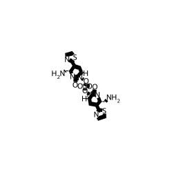 NC[C@@H]1C(c2nccs2)=C[C@@H]2CN1C(=O)N2OS(=O)(=O)ON1C(=O)N2C[C@H]1C=C(c1nccs1)[C@H]2CN